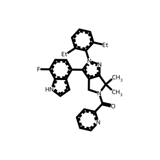 CCc1cccc(CC)c1-n1nc2c(c1-c1ccc(F)c3[nH]ccc13)CN(C(=O)c1ccccn1)C2(C)C